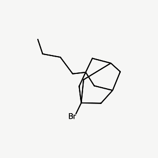 CCCCC12CC3CC(CC(Br)(C3)C1)C2